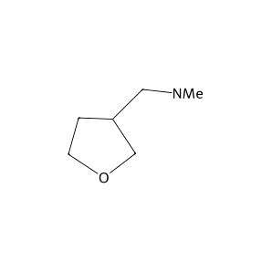 CNCC1CCOC1